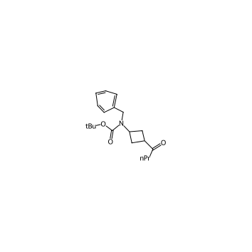 CCCC(=O)C1CC(N(Cc2ccccc2)C(=O)OC(C)(C)C)C1